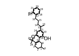 CC1CCC2=C(C1)c1c(O)cc(C(C)CCCc3ccccc3F)cc1OC2(C)C